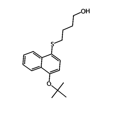 CC(C)(C)Oc1ccc(SCCCCO)c2ccccc12